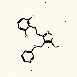 CCCc1onc(CCc2c(Cl)cccc2Cl)c1COc1cc[c]cc1